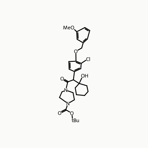 COc1cccc(COc2ccc(C(C(=O)N3CCN(C(=O)OC(C)(C)C)CC3)C3(O)CCCCC3)cc2Cl)c1